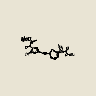 CCn1cc(C#Cc2cccc(NC(=O)OC(C)(C)C)c2)cc1C(=O)N(C)OC